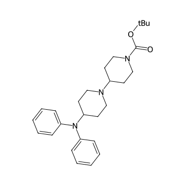 CC(C)(C)OC(=O)N1CCC(N2CCC(N(c3ccccc3)c3ccccc3)CC2)CC1